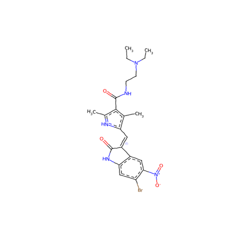 CCN(CC)CCNC(=O)c1c(C)[nH]c(/C=C2\C(=O)Nc3cc(Br)c([N+](=O)[O-])cc32)c1C